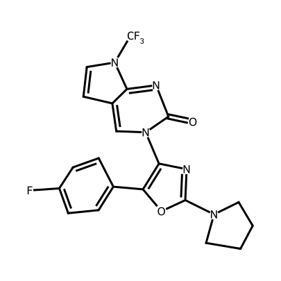 O=c1nc2c(ccn2C(F)(F)F)cn1-c1nc(N2CCCC2)oc1-c1ccc(F)cc1